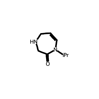 CC(C)N1C=CCNCC1=O